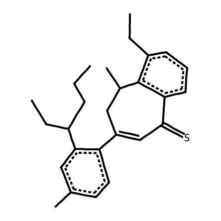 CCCC(CC)c1cc(C)ccc1C1=CC(=S)c2cccc(CC)c2C(C)C1